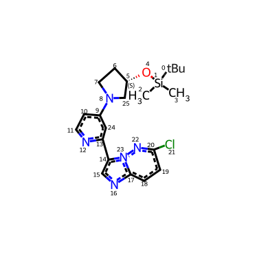 CC(C)(C)[Si](C)(C)O[C@H]1CCN(c2ccnc(-c3cnc4ccc(Cl)nn34)c2)C1